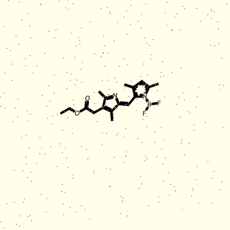 CCOC(=O)CC1=C(C)/C(=C/c2c(C)cc(C)n2B(F)F)N=C1C